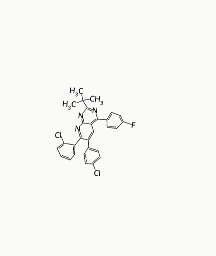 CC(C)(C)c1nc(-c2ccc(F)cc2)c2cc(-c3ccc(Cl)cc3)c(-c3ccccc3Cl)nc2n1